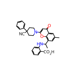 Cc1cc(C(C)Nc2ccccc2C(=O)O)c2oc(N3CCC(C#N)(c4ccccc4)CC3)cc(=O)c2c1